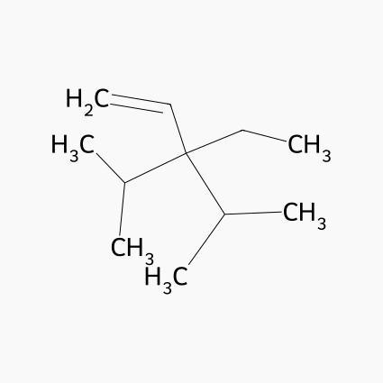 C=CC(CC)(C(C)C)C(C)C